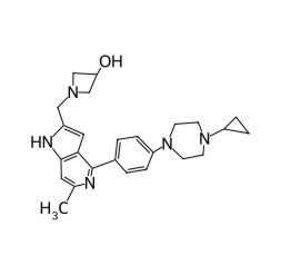 Cc1cc2[nH]c(CN3CC(O)C3)cc2c(-c2ccc(N3CCN(C4CC4)CC3)cc2)n1